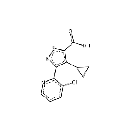 O=C(O)c1snc(-c2ncccc2Cl)c1C1CC1